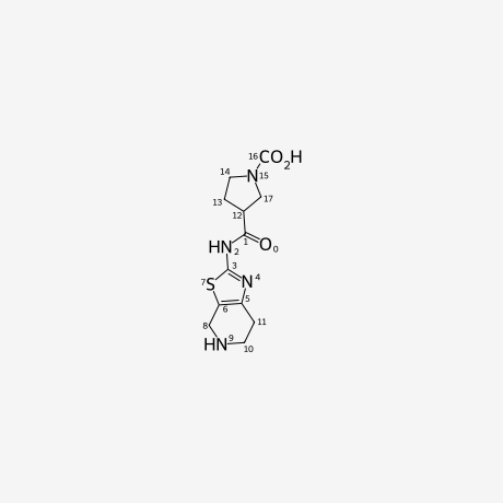 O=C(Nc1nc2c(s1)CNCC2)C1CCN(C(=O)O)C1